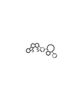 C1=CCCC(c2ccccccc(C3=CC=C4Sc5c(ccc6ccc7c8ccccc8sc7c56)C4C3)c3ccccc23)=C1